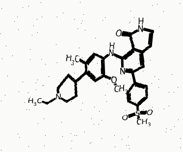 CCN1CCC(c2cc(OC)c(Nc3nc(-c4ccc(S(C)(=O)=O)cc4)cc4cc[nH]c(=O)c34)cc2C)CC1